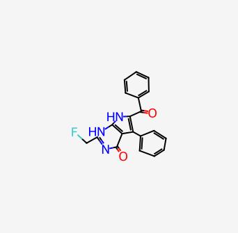 O=C(c1ccccc1)c1[nH]c2[nH]c(CF)nc(=O)c2c1-c1ccccc1